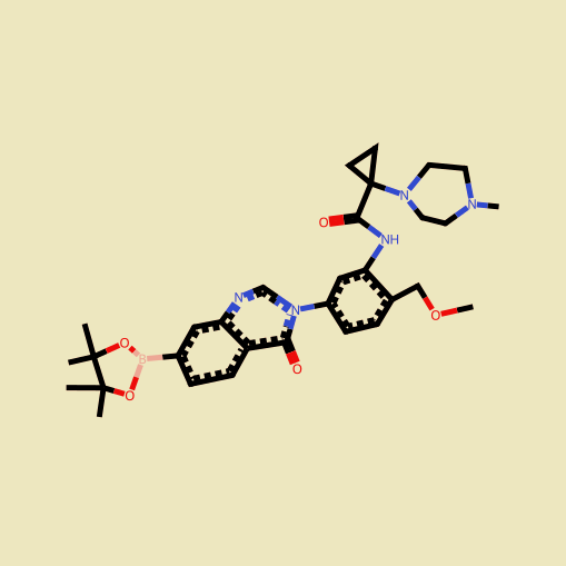 COCc1ccc(-n2cnc3cc(B4OC(C)(C)C(C)(C)O4)ccc3c2=O)cc1NC(=O)C1(N2CCN(C)CC2)CC1